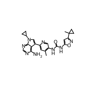 Cc1cc(-c2cn(C3CC3)c3ncnc(N)c23)ncc1NC(=O)Nc1cc(C2(C)CC2)no1